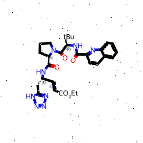 CCOC(=O)/C=C/[C@H](Cc1nnn[nH]1)NC(=O)[C@H]1CCCN1C(=O)[C@H](NC(=O)c1ccc2ccccc2n1)C(C)(C)C